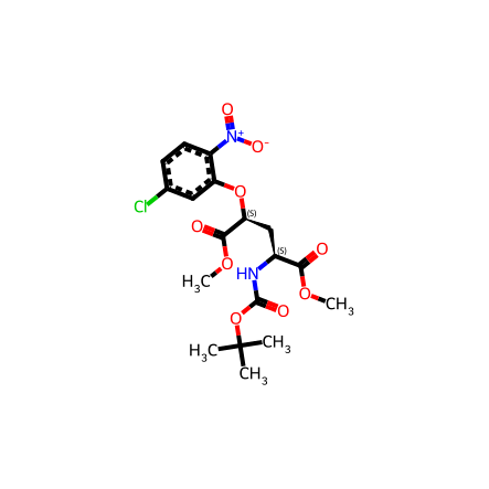 COC(=O)[C@H](C[C@H](Oc1cc(Cl)ccc1[N+](=O)[O-])C(=O)OC)NC(=O)OC(C)(C)C